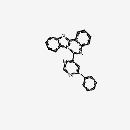 c1ccc(-c2cc(-c3nc4ccccc4c4nc5ccccc5n34)ncn2)cc1